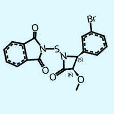 CO[C@H]1C(=O)N(SN2C(=O)c3ccccc3C2=O)[C@H]1c1cccc(Br)c1